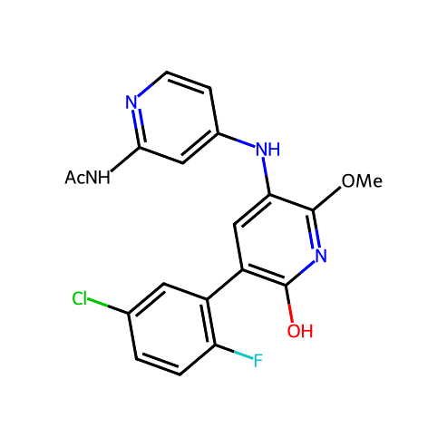 COc1nc(O)c(-c2cc(Cl)ccc2F)cc1Nc1ccnc(NC(C)=O)c1